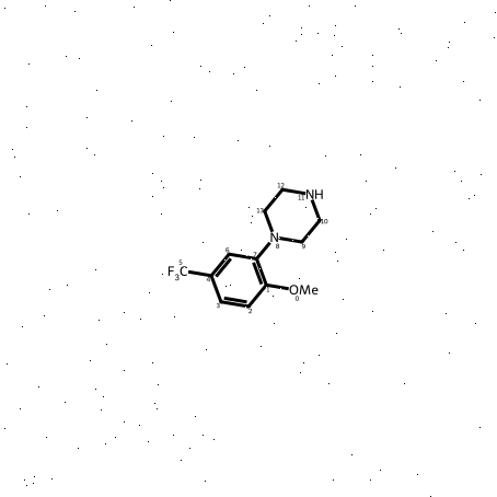 COc1ccc(C(F)(F)F)cc1N1CCNCC1